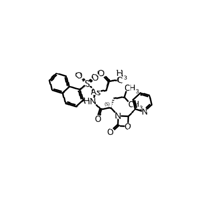 CC(=O)C[As](NC(=O)[C@H](CC(C)C)N1C(=O)OC1c1ccccn1)S(=O)(=O)c1cccc2ccccc12